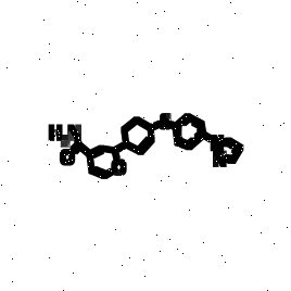 NC(=O)C1=CC(C2C=CC(Sc3ccc(-n4cccn4)cc3)CC2)OC=C1